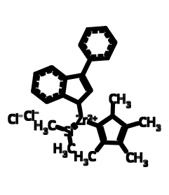 CC1=C(C)C(C)[C]([Zr+2]([CH]2C=C(c3ccccc3)c3ccccc32)=[Si](C)C)=C1C.[Cl-].[Cl-]